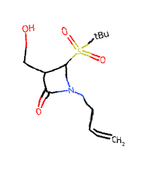 C=CCN1C(=O)C(CO)C1S(=O)(=O)C(C)(C)C